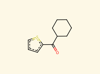 O=C(c1cccs1)C1CCCCC1